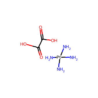 O=C(O)C(=O)O.[NH2][Pt]([NH2])([NH2])[NH2]